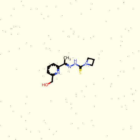 C/C(=N\NC(=S)N1CCC1)c1cccc(CO)n1